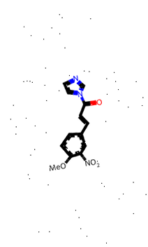 COc1ccc(/C=C/C(=O)n2ccnc2)cc1[N+](=O)[O-]